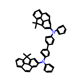 CC1(C)c2cccc3ccc4cc(N(c5ccccc5)c5ccc(-c6ccc(N(c7ccccc7)c7cc8c9c(ccc%10cccc(c%109)C8(C)C)c7)cc6)cc5)cc1c4c23